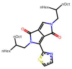 CCCCCCCCC(CCCCCC)CN1C=C2C(=O)N(CC(CCCCCC)CCCCCCCC)C(c3nccs3)=C2C1=O